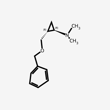 CN(C)[C@@H]1C[C@H]1COCc1ccccc1